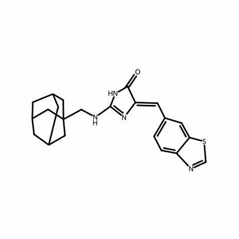 O=C1NC(NCC23CC4CC(CC(C4)C2)C3)=N/C1=C\c1ccc2ncsc2c1